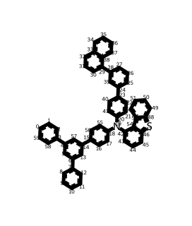 c1ccc(-c2cc(-c3ccccc3)cc(-c3ccc(N(c4ccc(-c5cccc(-c6cccc7ccccc67)c5)cc4)c4cccc5sc6ccccc6c45)cc3)c2)cc1